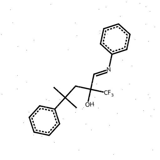 CC(C)(CC(O)(C=Nc1ccccc1)C(F)(F)F)c1ccccc1